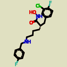 O=C(NO)[C@@H](CCCCNCc1ccc(F)cc1)Cc1ccc(F)c(Cl)c1